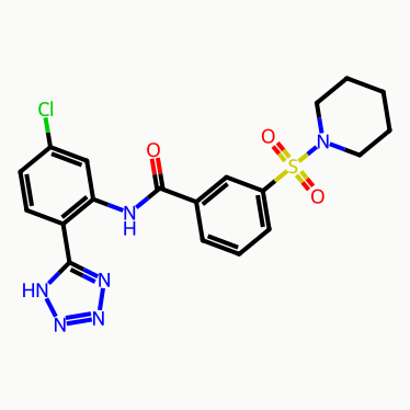 O=C(Nc1cc(Cl)ccc1-c1nnn[nH]1)c1cccc(S(=O)(=O)N2CCCCC2)c1